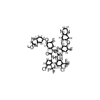 COc1cnc2ccc(Oc3ccc(NC(=O)N(c4ccc(Cl)c(C(F)(F)F)c4)N(C(=O)Nc4cc(F)c(Oc5ccc6nccnc6c5)c(F)c4F)c4ccc(Cl)c(C(F)(F)F)c4)cc3F)cc2n1